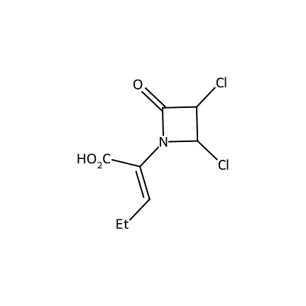 CCC=C(C(=O)O)N1C(=O)C(Cl)C1Cl